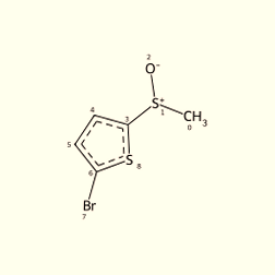 C[S+]([O-])c1ccc(Br)s1